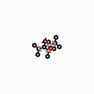 Cc1cc(C)c(-c2cc(-c3nc(-c4ccccc4)cc(-c4ccccc4)n3)cc(-c3nc(-c4ccccc4)nc(-c4ccccc4)n3)c2N2c3ccccc3N(c3nc(-c4ccccc4)cc(-c4ccccc4)n3)c3ccccc32)c(C)c1